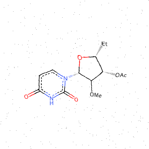 CC[C@H]1O[C@@H](n2ccc(=O)[nH]c2=O)C(OC)[C@H]1OC(C)=O